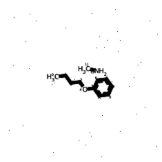 CCCCOc1ccccc1.CN